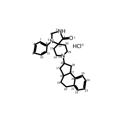 Cl.O=C1NCN(c2ccccc2)C12CCN(C1CC3CCc4ccccc4C3C1)CC2